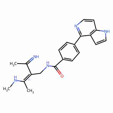 CN/C(C)=C(/CNC(=O)c1ccc(-c2nccc3[nH]ccc23)cc1)C(C)=N